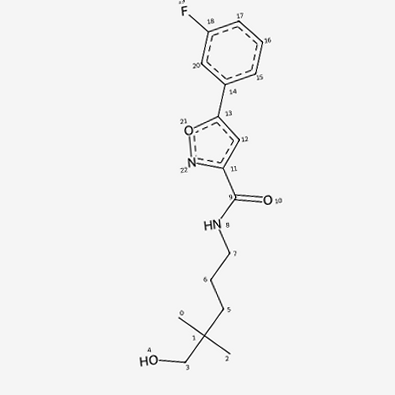 CC(C)(CO)CCCNC(=O)c1cc(-c2cccc(F)c2)on1